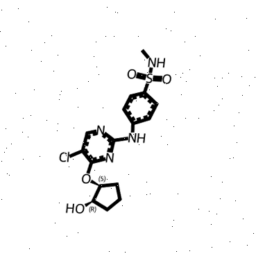 CNS(=O)(=O)c1ccc(Nc2ncc(Cl)c(O[C@H]3CCC[C@H]3O)n2)cc1